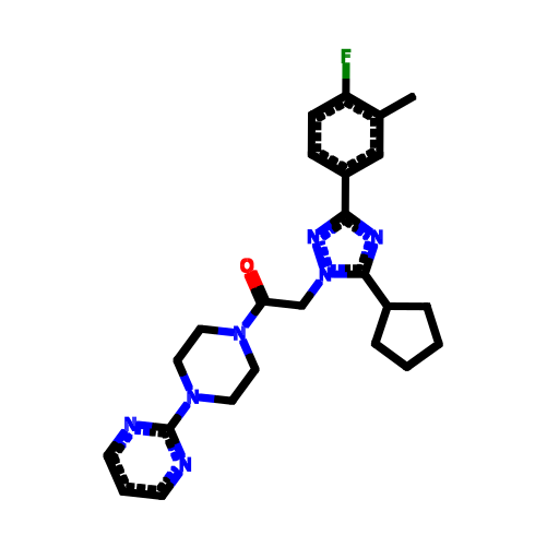 Cc1cc(-c2nc(C3CCCC3)n(CC(=O)N3CCN(c4ncccn4)CC3)n2)ccc1F